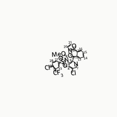 COCN(c1cc(Cl)cnc1C(=O)c1ccccc1-c1ncco1)S(=O)(=O)c1ccc(Cl)c(C(F)(F)F)c1